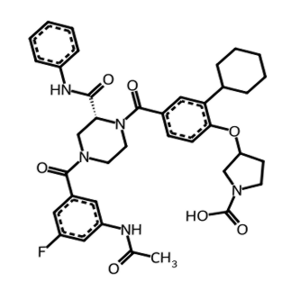 CC(=O)Nc1cc(F)cc(C(=O)N2CCN(C(=O)c3ccc(OC4CCN(C(=O)O)C4)c(C4CCCCC4)c3)[C@@H](C(=O)Nc3ccccc3)C2)c1